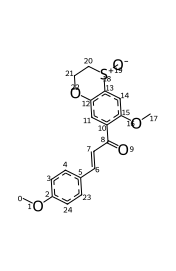 COc1ccc(C=CC(=O)c2cc3c(cc2OC)[S+]([O-])CCO3)cc1